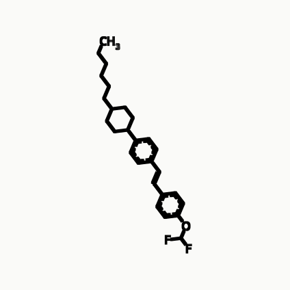 CCCCCCC1CCC(c2ccc(C=Cc3ccc(OC(F)F)cc3)cc2)CC1